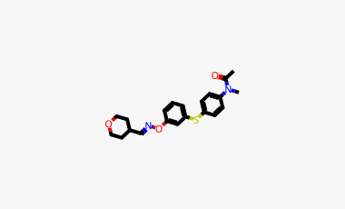 CC(=O)N(C)c1ccc(Sc2cccc(ON=CC3CCOCC3)c2)cc1